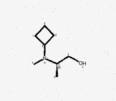 C[C@H](CO)N(C)C1CCC1